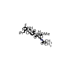 COC(=O)N[C@@H](CC/C=C/C(=O)N(C)C)C(=O)Nc1ccc(Cl)n(Cc2nc3c(CC(C)C)ncc(F)c3[nH]2)c1=O